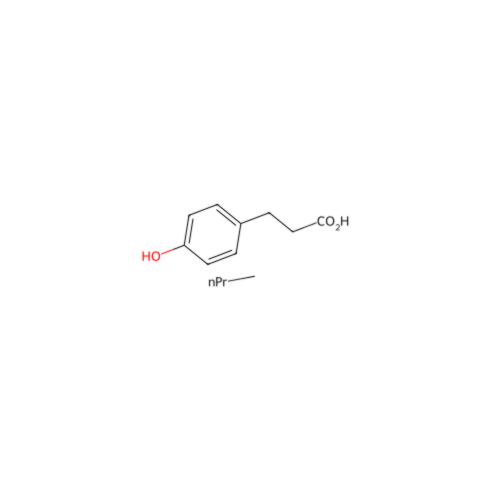 CCCC.O=C(O)CCc1ccc(O)cc1